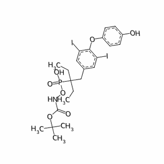 CCC(CC)(Cc1cc(I)c(Oc2ccc(O)cc2)c(I)c1)P(=O)(O)ONC(=O)OC(C)(C)C